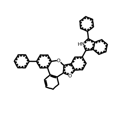 C1=CC2=C(CC1)c1oc3ccc(-c4[nH]c(-c5ccccc5)c5ccccc45)cc3c1Oc1ccc(-c3ccccc3)cc12